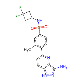 Cc1cc(S(=O)(=O)NC2CC(F)(F)C2)ccc1-c1ccc2[nH]nc(N)c2n1